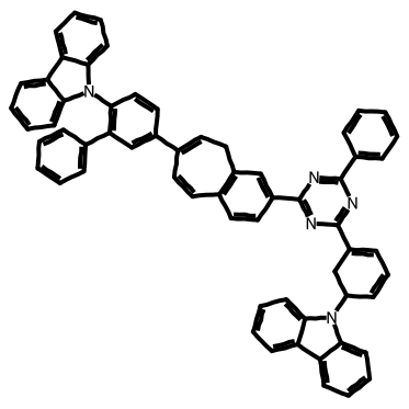 C1=CC(n2c3ccccc3c3ccccc32)CC(c2nc(-c3ccccc3)nc(-c3ccc4c(c3)CC=C(c3ccc(-n5c6ccccc6c6ccccc65)c(-c5ccccc5)c3)C=C4)n2)=C1